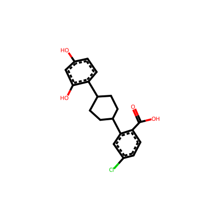 O=C(O)c1ccc(Cl)cc1C1CCC(c2ccc(O)cc2O)CC1